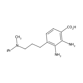 CC(C)N(C)CCCc1ccc(C(=O)O)c(N)c1N